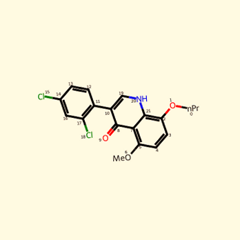 CCCOc1ccc(OC)c2c(=O)c(-c3ccc(Cl)cc3Cl)c[nH]c12